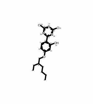 CCCCC(CC)COc1ccc(-c2nc(Cl)nc(Cl)n2)c(O)c1